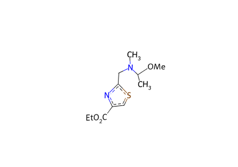 CCOC(=O)c1csc(CN(C)C(C)OC)n1